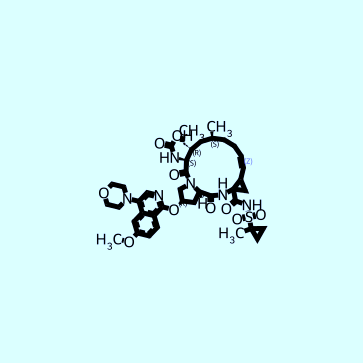 CC[C@@H]1C[C@@H](C)CC/C=C\C2CC2(C(=O)NS(=O)(=O)C2(C)CC2)NC(=O)[C@@H]2C[C@@H](Oc3ncc(N4CCOCC4)c4cc(OC)ccc34)CN2C(=O)[C@H]1NC(=O)O